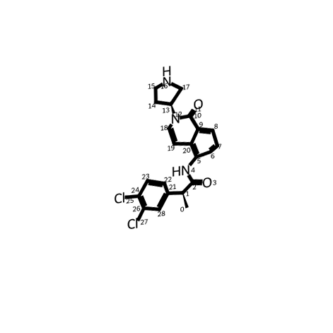 C[C@H](C(=O)Nc1cccc2c(=O)n([C@H]3CCNC3)ccc12)c1ccc(Cl)c(Cl)c1